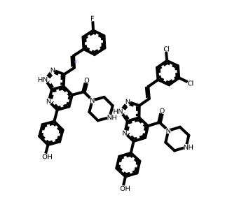 O=C(c1cc(-c2ccc(O)cc2)nc2[nH]nc(/C=C/c3cccc(F)c3)c12)N1CCNCC1.O=C(c1cc(-c2ccc(O)cc2)nc2[nH]nc(C=Cc3cc(Cl)cc(Cl)c3)c12)N1CCNCC1